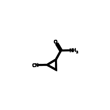 [C-]#[N+]C1CC1C(N)=O